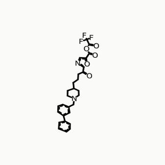 O=C(OC(=O)C(F)(F)F)c1cnc(C(=O)CCCC2CCN(Cc3cccc(-c4ccccc4)c3)CC2)o1